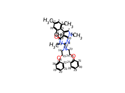 Cc1cc(C)c(-c2cn(C)c3nc(N(CCOc4ccccc4)CCOc4ccccc4)n(C)c(=O)c23)c(C)c1